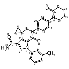 Cc1cccc(-n2nc(C(N)=O)c3c2C(=O)N(c2ccc(N4CCCCC4=O)cc2)CC32CC2)c1